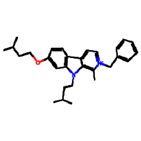 Cc1c2c(cc[n+]1Cc1ccccc1)c1ccc(OCCC(C)C)cc1n2CCC(C)C